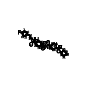 O=C(NCCc1ccc(F)cc1)c1ccc(S(=O)(=O)NC(=O)c2ccc(C(=O)OC3CCCCC3)nc2)cc1